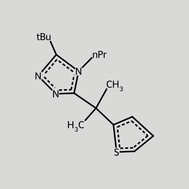 CCCn1c(C(C)(C)C)nnc1C(C)(C)c1cccs1